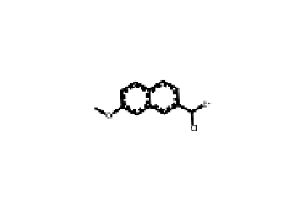 COc1ccc2ccc(C(Cl)Br)cc2c1